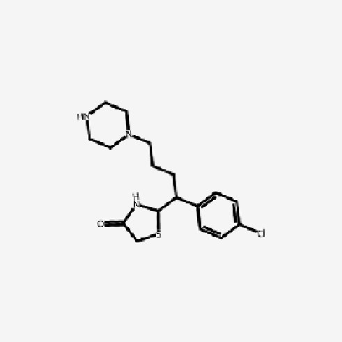 O=C1CSC(C(CCCN2CCNCC2)c2ccc(Cl)cc2)N1